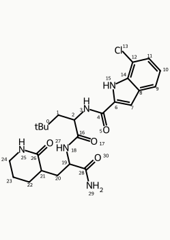 CC(C)(C)CC(NC(=O)c1cc2cccc(Cl)c2[nH]1)C(=O)NC(CC1CCCNC1=O)C(N)=O